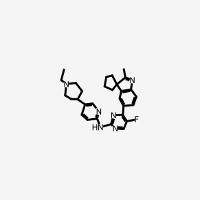 CCN1CCC(c2ccc(Nc3ncc(F)c(-c4ccc5c(c4)C4(CCCC4)C(C)=N5)n3)nc2)CC1